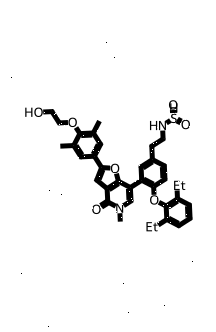 CCc1cccc(CC)c1Oc1ccc(CCN[SH](=O)=O)cc1-c1cn(C)c(=O)c2cc(-c3cc(C)c(OCCO)c(C)c3)oc12